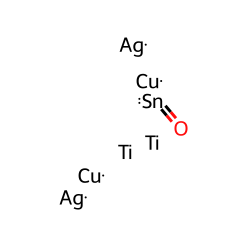 [Ag].[Ag].[Cu].[Cu].[O]=[Sn].[Ti].[Ti]